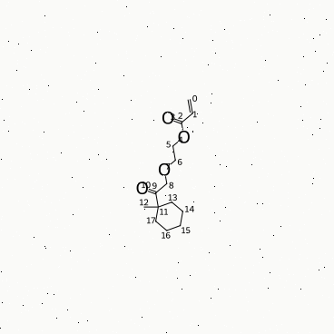 C=CC(=O)OCCOCC(=O)C1(C)CCCCC1